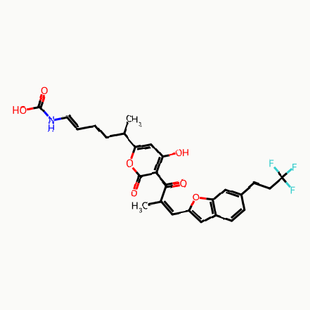 CC(=Cc1cc2ccc(CCC(F)(F)F)cc2o1)C(=O)c1c(O)cc(C(C)CC/C=C/NC(=O)O)oc1=O